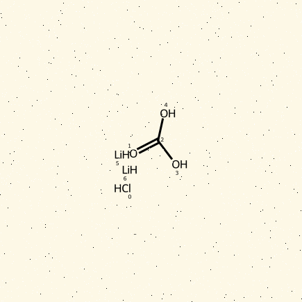 Cl.O=C(O)O.[LiH].[LiH]